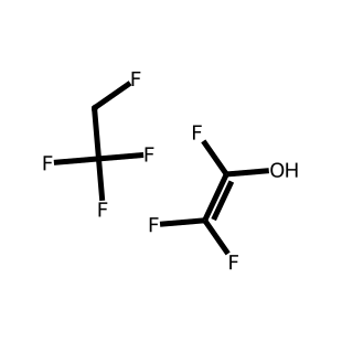 FCC(F)(F)F.OC(F)=C(F)F